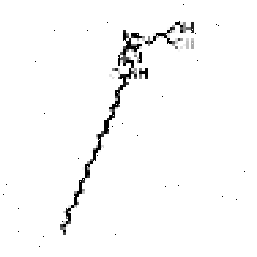 CCC=CCC=CCC=CCC=CCC=CCC=CCCC(=O)Nc1ncc2ncn(CCC(CO)CO)c2n1